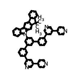 CC1(C)c2ccccc2-c2cc3c4ccccc4n(-c4cc(-c5cccc(-c6cncc(-c7ccncc7)c6)c5)cc(-c5cccc(-c6cncc(-c7ccncc7)c6)c5)c4)c3cc21